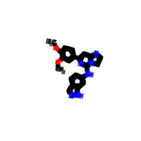 COc1ccc(-c2cc3nccn3c(Nc3ccc4cn[nH]c4c3)n2)cc1OC